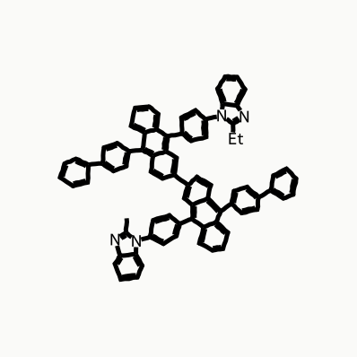 CCc1nc2ccccc2n1-c1ccc(-c2c3ccccc3c(-c3ccc(-c4ccccc4)cc3)c3ccc(-c4ccc5c(-c6ccc(-c7ccccc7)cc6)c6ccccc6c(-c6ccc(-n7c(C)nc8ccccc87)cc6)c5c4)cc23)cc1